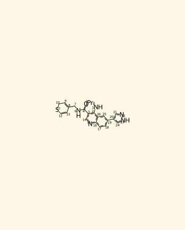 CC(C)Nc1c(C(=O)NCC2=CCSC=C2)cnc2ccc(-c3cn[nH]c3)cc12